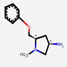 N[C@@H]1C[C@H](COc2ccccc2)N(C(=O)O)C1